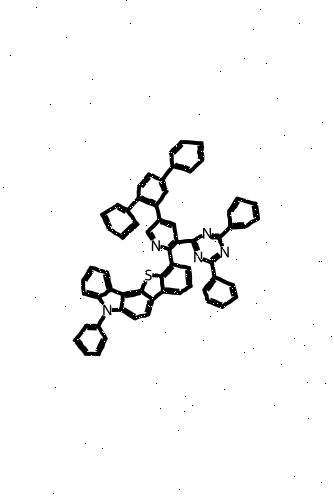 c1ccc(-c2ccc(-c3ccccc3)c(-c3cnc(-c4cccc5c4sc4c5ccc5c4c4ccccc4n5-c4ccccc4)c(-c4nc(-c5ccccc5)nc(-c5ccccc5)n4)c3)c2)cc1